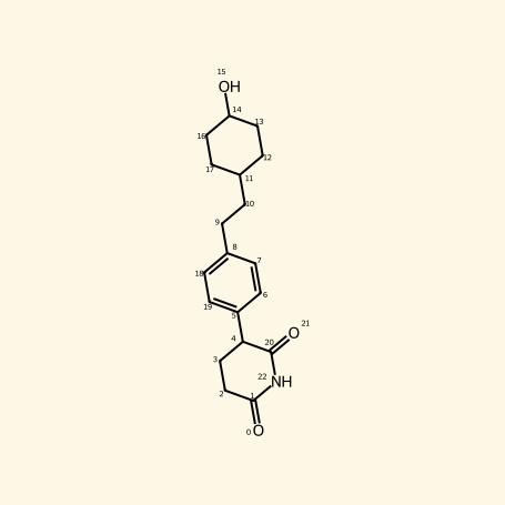 O=C1CCC(c2ccc(CCC3CCC(O)CC3)cc2)C(=O)N1